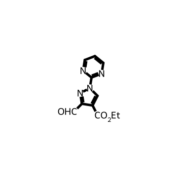 CCOC(=O)c1cn(-c2ncccn2)nc1C=O